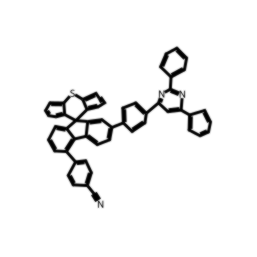 N#Cc1ccc(-c2cccc3c2-c2ccc(-c4ccc(-c5cc(-c6ccccc6)nc(-c6ccccc6)n5)cc4)cc2C32c3ccccc3Sc3ccccc32)cc1